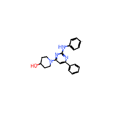 OC1CCN(c2cc(-c3ccccc3)nc(Nc3cc[c]cc3)n2)CC1